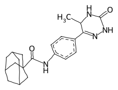 CC1NC(=O)NN=C1c1ccc(NC(=O)C23CC4CC(CC(C4)C2)C3)cc1